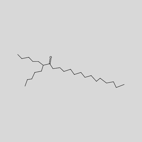 CCCCCCCCCCCCCCC(=O)C(CCCCC)CCCCC